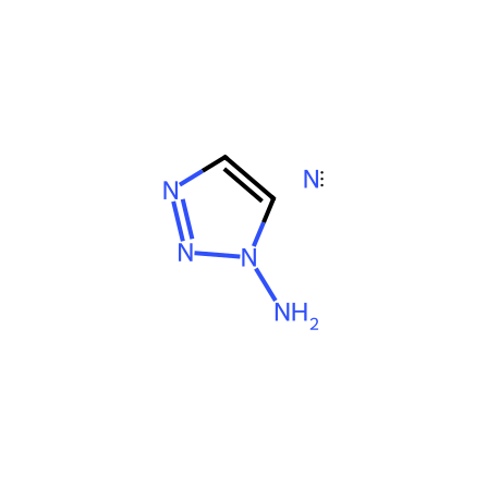 Nn1ccnn1.[N]